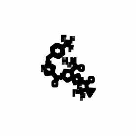 NC(=O)C1CN(C(=O)c2cnn(Cc3ccc(C(F)(F)F)cc3)c2)CC12CN(C(=O)C1(C(F)(F)F)CC1)C2